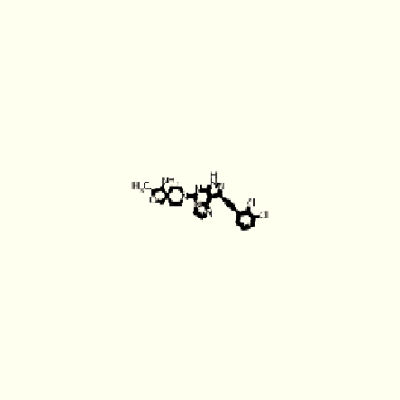 C[C@@H]1OCC2(CCN(c3nc4[nH]nc(C#Cc5cccc(Cl)c5Cl)c4c4nccn34)CC2)[C@@H]1N